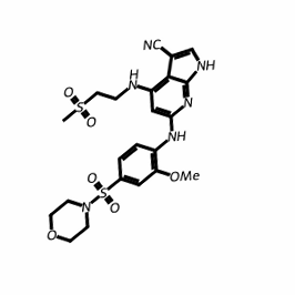 COc1cc(S(=O)(=O)N2CCOCC2)ccc1Nc1cc(NCCS(C)(=O)=O)c2c(C#N)c[nH]c2n1